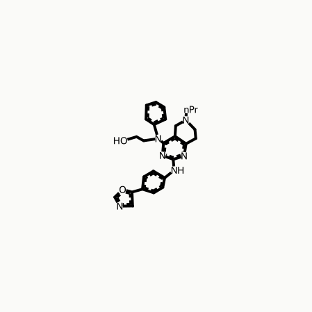 CCCN1CCc2nc(Nc3ccc(-c4cnco4)cc3)nc(N(CCO)c3ccccc3)c2C1